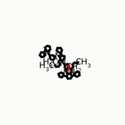 C=C/C(=C\C=C/CC)n1c2ccccc2c2ccc3c4ccccc4n(-c4cccc(-n5c(/C=C\CC)c(C)c6c5ccc5c7ccccc7n(C7=CC(n8c9ccccc9c9ccccc98)=CCC7)c56)c4)c3c21